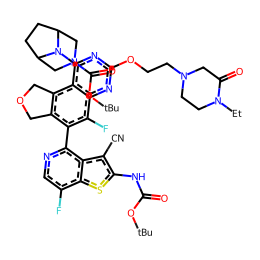 CCN1CCN(CCOc2nc(N3C4CCC3CN(C(=O)OC(C)(C)C)C4)c3c4c(c(-c5ncc(F)c6sc(NC(=O)OC(C)(C)C)c(C#N)c56)c(F)c3n2)COC4)CC1=O